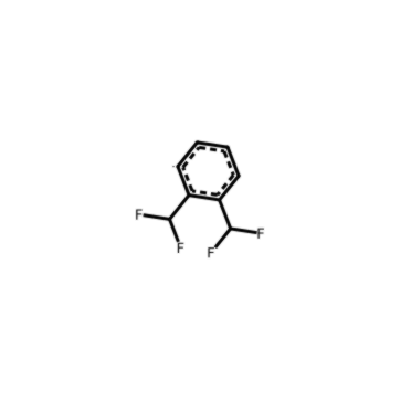 FC(F)c1[c]cccc1C(F)F